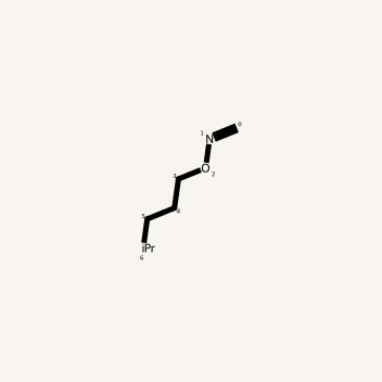 C=NOCCCC(C)C